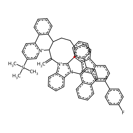 C=C1C2C(CCc3ccc4c(sc5cc(-c6ccc(F)cc6)ccc54)c3-c3n(-c4c(-c5ccccc5)cc(F)c5ccccc45)c4ccccc4[n+]31)c1ccccc1-c1ccc([Si](C)(C)C)c[n+]12